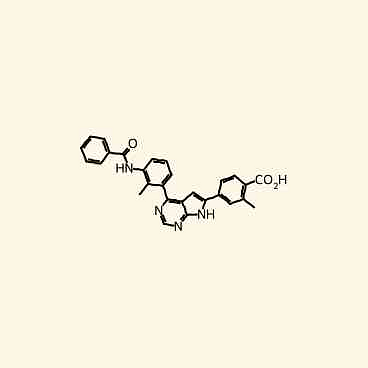 Cc1cc(-c2cc3c(-c4cccc(NC(=O)c5ccccc5)c4C)ncnc3[nH]2)ccc1C(=O)O